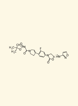 CC(C)(C)O[PH](=O)CC(=O)N1CC=C(c2ccc(N3C[C@H](CNc4ccon4)OC3=O)cc2F)CC1